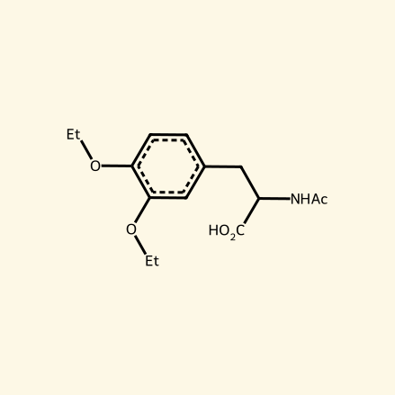 CCOc1ccc(CC(NC(C)=O)C(=O)O)cc1OCC